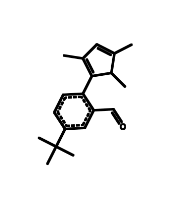 CC1=CC(C)=C(c2ccc(C(C)(C)C)cc2C=O)C1C